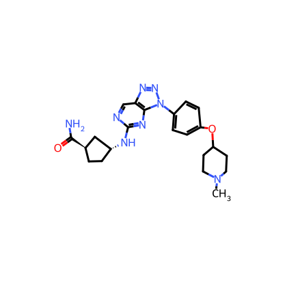 CN1CCC(Oc2ccc(-n3nnc4cnc(N[C@@H]5CC[C@@H](C(N)=O)C5)nc43)cc2)CC1